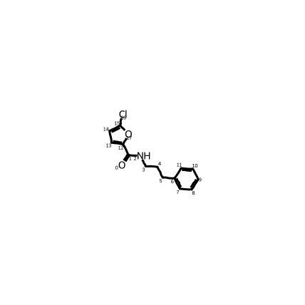 O=C(NCCCc1ccccc1)c1ccc(Cl)o1